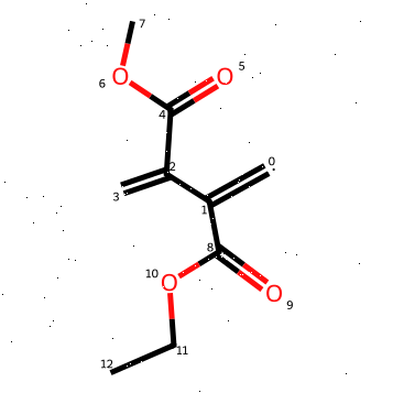 [CH]=C(C(=C)C(=O)OC)C(=O)OCC